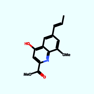 CC=Cc1cc(OC)c2nc(C(=O)OC)cc(O)c2c1